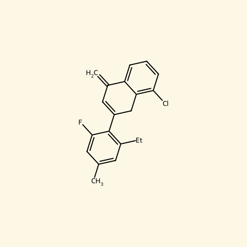 C=C1C=C(c2c(F)cc(C)cc2CC)Cc2c(Cl)cccc21